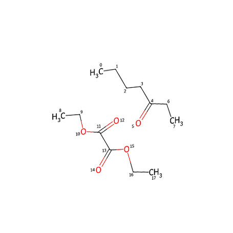 CCCCC(=O)CC.CCOC(=O)C(=O)OCC